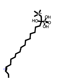 CC/C=C\CCCCCCCCCCCCCC(O)(C[N+](C)(C)C)P(=O)(O)O